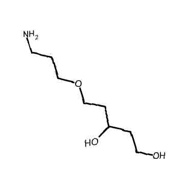 NCCCOCCC(O)CCO